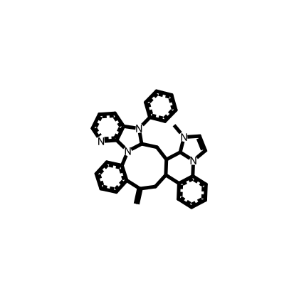 C=C1CC2c3ccccc3N3C=CN(C)C3C2CC2N(c3ccccc3)c3cccnc3N2c2ccccc21